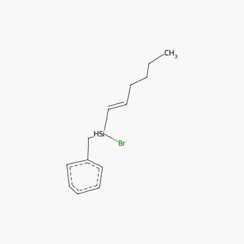 CCCCC=C[SiH](Br)Cc1ccccc1